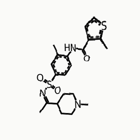 C/C(=N/S(=O)(=O)c1ccc(NC(=O)c2ccsc2C)c(C)c1)C1CCN(C)CC1